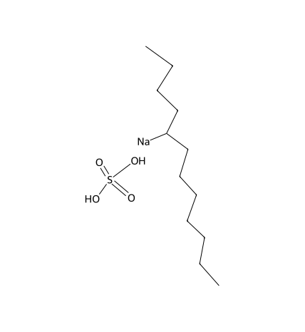 CCCCCCC[CH]([Na])CCCC.O=S(=O)(O)O